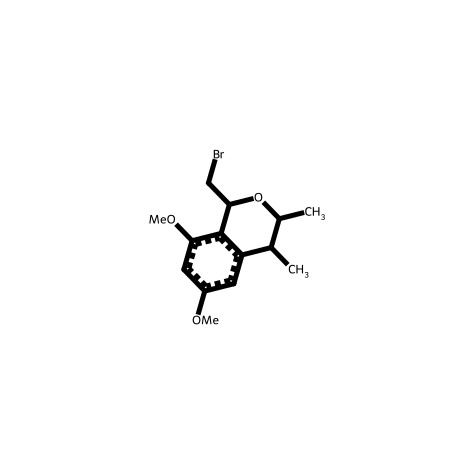 COc1cc(OC)c2c(c1)C(C)C(C)OC2CBr